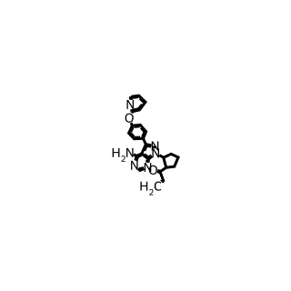 C=CC(=O)C1CCCC1n1nc(-c2ccc(Oc3ccccn3)cc2)c2c(N)ncnc21